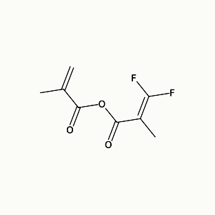 C=C(C)C(=O)OC(=O)C(C)=C(F)F